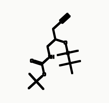 C#CCC(CNC(=O)OC(C)(C)C)O[Si](C)(C)C(C)(C)C